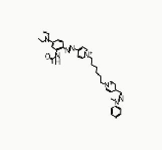 CCN(CC)c1ccc(/N=N/c2cc[n+](CCCCCC[n+]3ccc(/C=N\N(C)c4ccccc4)cc3)cc2)c(NC(C)=O)c1